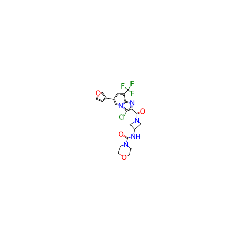 O=C(NC1CN(C(=O)c2nc3c(C(F)(F)F)cc(-c4ccoc4)cn3c2Cl)C1)N1CCOCC1